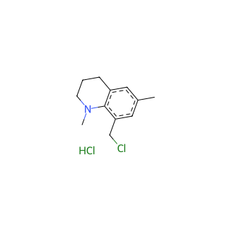 Cc1cc(CCl)c2c(c1)CCCN2C.Cl